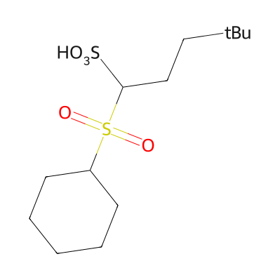 CC(C)(C)CCC(S(=O)(=O)O)S(=O)(=O)C1CCCCC1